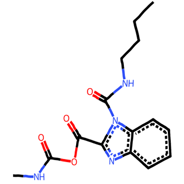 CCCCNC(=O)n1c(C(=O)OC(=O)NC)nc2ccccc21